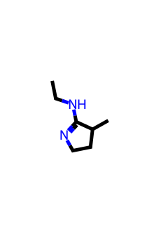 CCNC1=NCCC1C